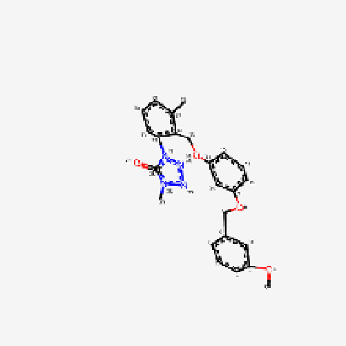 COc1cccc(COc2cccc(OCc3c(C)cccc3-n3nnn(C)c3=O)c2)c1